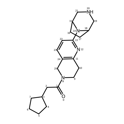 O=C(CC1CCCC1)N1CCc2nc(N3C4CCC3CNC4)ccc2C1